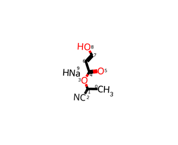 CC(C#N)OC(=O)/C=C/O.[NaH]